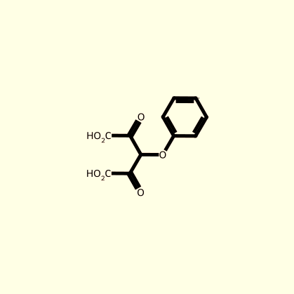 O=C(O)C(=O)C(Oc1cc[c]cc1)C(=O)C(=O)O